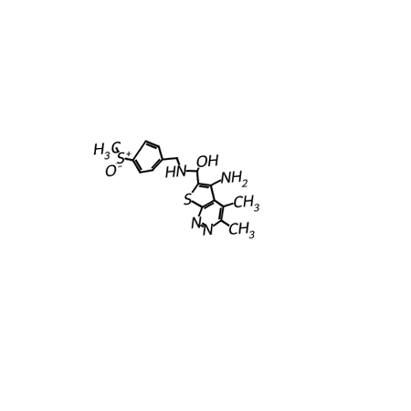 Cc1nnc2sc(C(O)NCc3ccc([S+](C)[O-])cc3)c(N)c2c1C